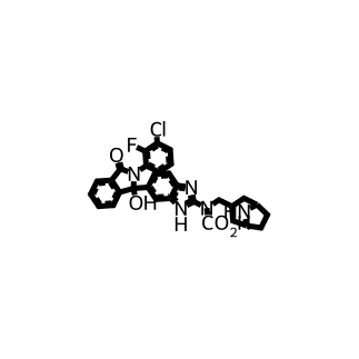 O=C(O)N(CC1CC2CCC(C1)N2)c1nc2ccc(C3(O)c4ccccc4C(=O)N3c3cccc(Cl)c3F)cc2[nH]1